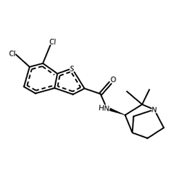 CC1(C)[C@H](NC(=O)c2cc3ccc(Cl)c(Cl)c3s2)C2CCN1C2